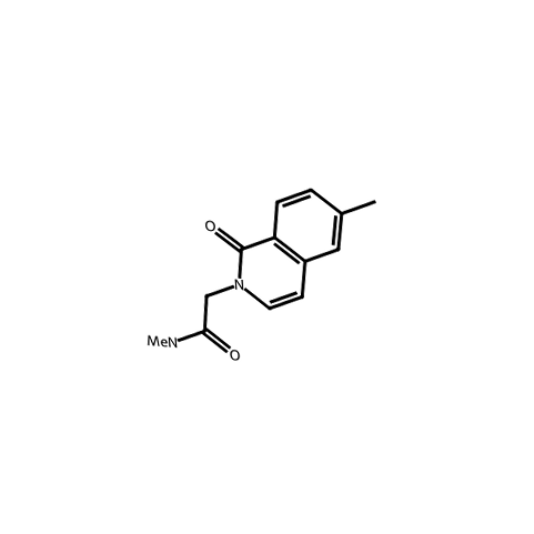 CNC(=O)Cn1ccc2cc(C)ccc2c1=O